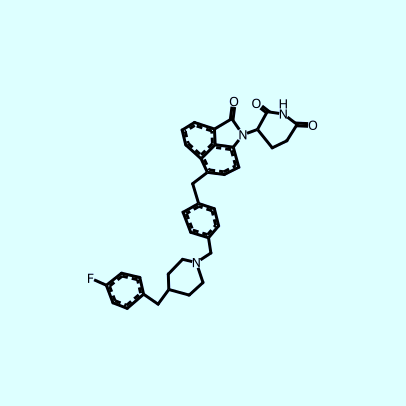 O=C1CCC(N2C(=O)c3cccc4c(Cc5ccc(CN6CCC(Cc7ccc(F)cc7)CC6)cc5)ccc2c34)C(=O)N1